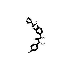 O=C(Nc1ccc2[nH]c(-c3cscn3)nc2c1)[C@@H](O)c1ccc(Cl)cc1